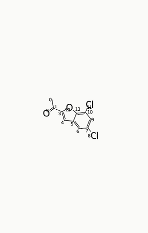 CC(=O)c1cc2cc(Cl)cc(Cl)c2o1